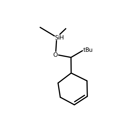 C[SiH](C)OC(C1CC=CCC1)C(C)(C)C